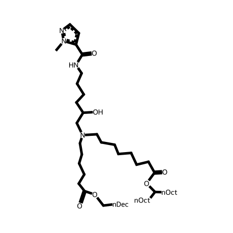 CCCCCCCCCCCOC(=O)CCCCCN(CCCCCCCC(=O)OC(CCCCCCCC)CCCCCCCC)CC(O)CCCCNC(=O)c1ccnn1C